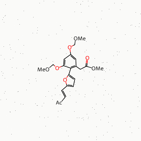 COCOc1cc(CC(=O)OC)c(-c2ccc(/C=C/C(C)=O)o2)c(OCOC)c1